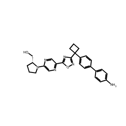 Nc1ccc(-c2ccc(C3(c4noc(-c5cnc(N6CCC[C@@H]6CO)cn5)n4)CCC3)cc2)cc1